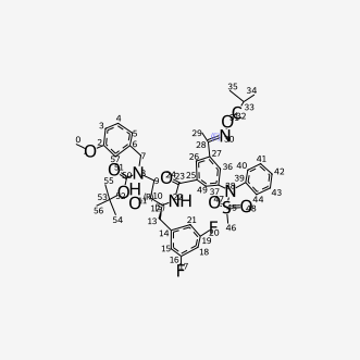 COc1cccc(CN(C[C@@H](O)[C@H](Cc2cc(F)cc(F)c2)NC(=O)c2cc(/C(C)=N/OCC(C)C)cc(N(c3ccccc3)S(C)(=O)=O)c2)C(=O)OC(C)(C)C)c1